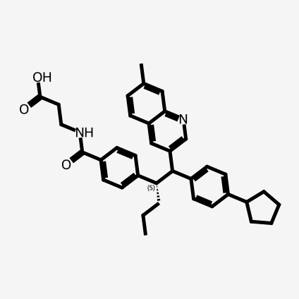 CCC[C@H](c1ccc(C(=O)NCCC(=O)O)cc1)C(c1ccc(C2CCCC2)cc1)c1cnc2cc(C)ccc2c1